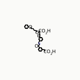 O=C(O)Cc1cccc(C(=O)/C=C/c2cccc(OCC(OCCCCOc3ccccc3)C(=O)O)c2)c1